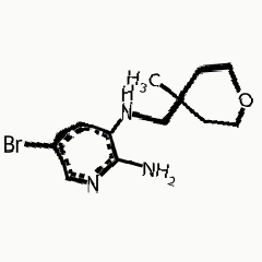 CC1(CNc2cc(Br)cnc2N)CCOCC1